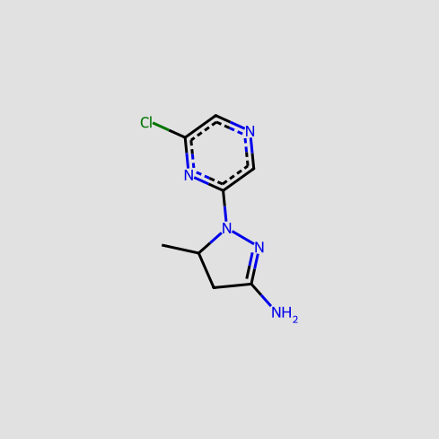 CC1CC(N)=NN1c1cncc(Cl)n1